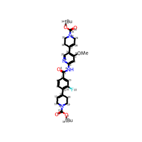 COc1cc(NC(=O)c2ccc(C3=CCN(C(=O)OC(C)(C)C)CC3)c(F)c2)ncc1C1=CCN(C(=O)OC(C)(C)C)CC1